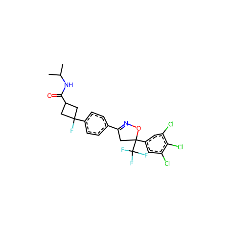 CC(C)NC(=O)C1CC(F)(c2ccc(C3=NOC(c4cc(Cl)c(Cl)c(Cl)c4)(C(F)(F)F)C3)cc2)C1